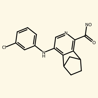 O=NC(=O)c1ncc(Nc2cccc(Cl)c2)c2c1C1CCC2C1